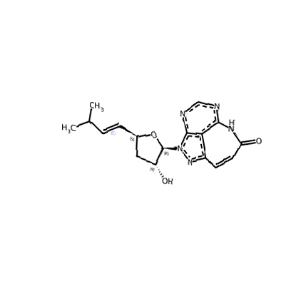 CC(C)/C=C/[C@@H]1C[C@@H](O)[C@H](n2nc3c4c(ncnc42)NC(=O)C=C3)O1